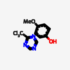 COc1ccc(O)cc1.ClC(Cl)(Cl)c1ncncn1